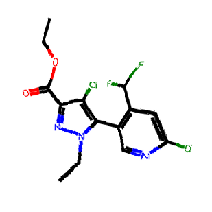 CCOC(=O)c1nn(CC)c(-c2cnc(Cl)cc2C(F)F)c1Cl